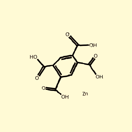 O=C(O)c1cc(C(=O)O)c(C(=O)O)cc1C(=O)O.[Zn]